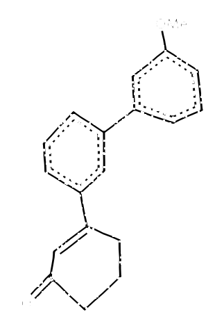 COc1cccc(-c2cccc(C3=CC(=O)CCC3)c2)c1